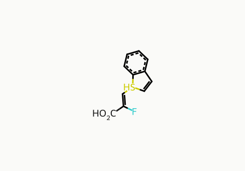 O=C(O)/C(F)=C/[SH]1C=Cc2ccccc21